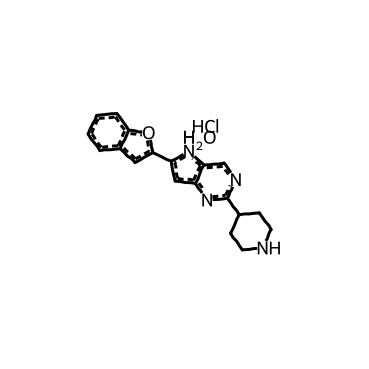 Cl.O.c1ccc2oc(-c3cc4nc(C5CCNCC5)ncc4[nH]3)cc2c1